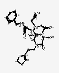 C#CCN1CC(=O)N2[C@@H](C(C)CC)C(=O)N(CCC3=CCCS3)C[C@@H]2N1C(=O)NCc1ccccc1